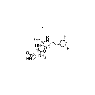 NC(=O)[C@H](C[C@@H]1CCNC1=O)NC(=O)[C@H](CC1CC1)NC(=O)CCc1cc(F)cc(F)c1